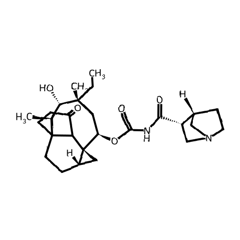 CC[C@]1(C)C[C@@H](OC(=O)NC(=O)[C@H]2CN3CC[C@@H]2C3)[C@]23C[C@@H]2CCC2(CCC(=O)C23)[C@@H](C)[C@@H]1O